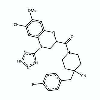 COc1cc2c(cc1Cl)N(c1nn[nH]n1)CC(C(=O)N1CCC(C#N)(Cc3ccc(F)cc3)CC1)O2